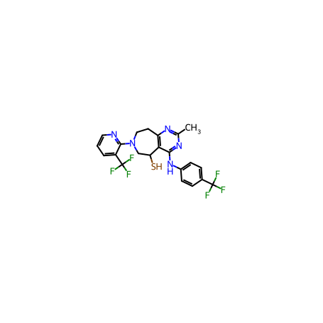 Cc1nc2c(c(Nc3ccc(C(F)(F)F)cc3)n1)C(S)CN(c1ncccc1C(F)(F)F)CC2